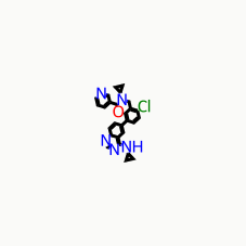 O=C(c1cccnc1)N(Cc1cc(-c2ccc3ncnc(NC4CC4)c3c2)ccc1Cl)C1CC1